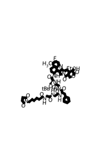 CC[C@@]1(O)C(=O)OCc2c1cc1n(c2=O)Cc2c-1nc1cc(F)c(C)c3c1c2[C@@H](NC(=O)[C@H](COC(C)(C)C)NC(=O)CNC(=O)C(Cc1ccccc1)NC(=O)CNC(=O)CNC(=O)CCCCCN1C(=O)C=CC1=O)CC3